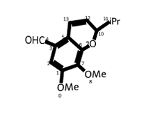 COc1cc(C=O)c2c(c1OC)OC(C(C)C)C=C2